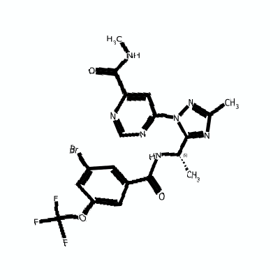 CNC(=O)c1cc(-n2nc(C)nc2[C@H](C)NC(=O)c2cc(Br)cc(OC(F)(F)F)c2)ncn1